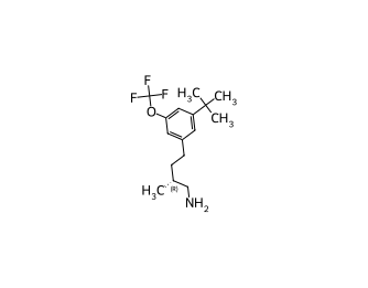 C[C@@H](CN)CCc1cc(OC(F)(F)F)cc(C(C)(C)C)c1